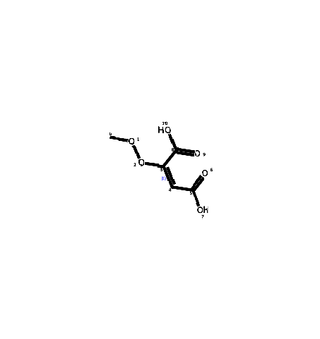 COO/C(=C/C(=O)O)C(=O)O